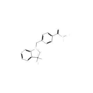 CC1(C)CN(Cc2ccc(C(=O)NO)cc2)c2ccccc21